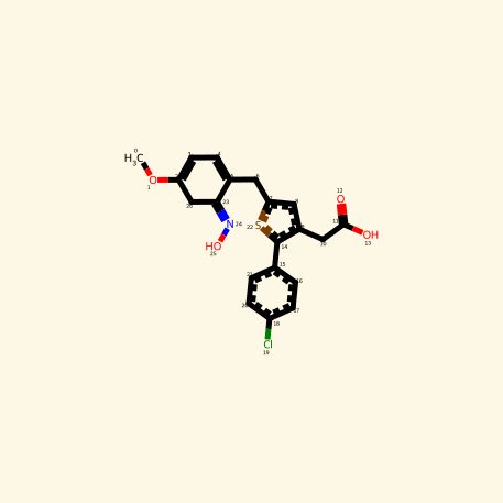 COC1=CC=C(Cc2cc(CC(=O)O)c(-c3ccc(Cl)cc3)s2)C(=NO)C1